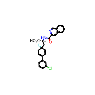 O=C(N[C@@H](CC1(F)C=CC(c2cccc(Cl)c2)=CC1)C(=O)O)c1cc2ccccc2cn1